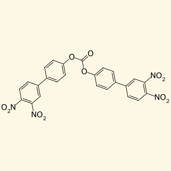 O=C(Oc1ccc(-c2ccc([N+](=O)[O-])c([N+](=O)[O-])c2)cc1)Oc1ccc(-c2ccc([N+](=O)[O-])c([N+](=O)[O-])c2)cc1